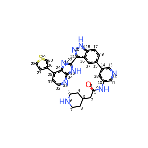 O=C(CC1CCNCC1)Nc1cncc(-c2ccc3[nH]nc(-c4nc5c(-c6ccsc6)ccnc5[nH]4)c3c2)c1